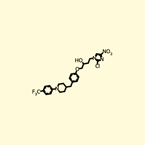 O=[N+]([O-])c1cn(CCC(O)COc2ccc(CC3CCN(c4ccc(C(F)(F)F)cc4)CC3)cc2)c(Cl)n1